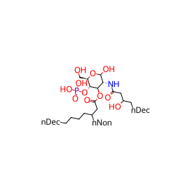 CCCCCCCCCCCCCCC(CCCCCCCCC)CC(=O)O[C@H]1[C@H](OP(=O)(O)O)[C@@H](CO)OC(O)[C@@H]1NC(=O)C[C@H](O)CCCCCCCCCCC